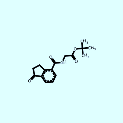 CC(C)(C)OC(=O)CNC(=O)c1cccc2c1CCC2=O